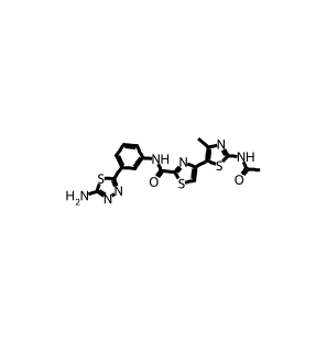 CC(=O)Nc1nc(C)c(-c2csc(C(=O)Nc3cccc(-c4nnc(N)s4)c3)n2)s1